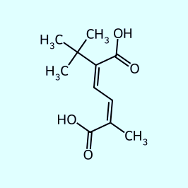 CC(=CC=C(C(=O)O)C(C)(C)C)C(=O)O